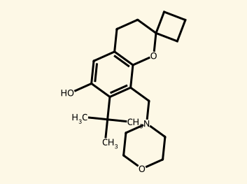 CC(C)(C)c1c(O)cc2c(c1CN1CCOCC1)OC1(CCC1)CC2